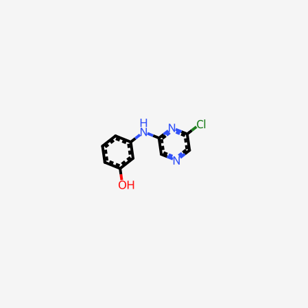 Oc1cccc(Nc2cncc(Cl)n2)c1